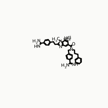 Cl.Cl.Cn1c(CCc2ccc(C(=N)N)cc2)nc2cc(C(=O)N(CCCc3ccccc3)Cc3ccc(C(=N)N)cc3)ccc21